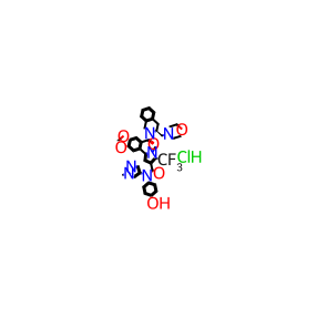 Cl.Cn1cc(N(C(=O)c2cc(-c3cc4c(cc3C(=O)N3Cc5ccccc5C[C@H]3CN3CCOCC3)OCO4)n(C)c2C(F)(F)F)c2ccc(O)cc2)cn1